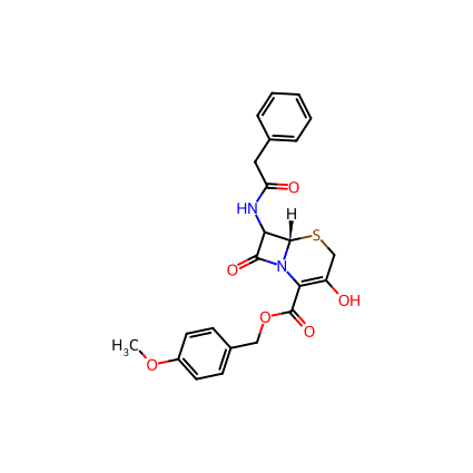 COc1ccc(COC(=O)C2=C(O)CS[C@H]3C(NC(=O)Cc4ccccc4)C(=O)N23)cc1